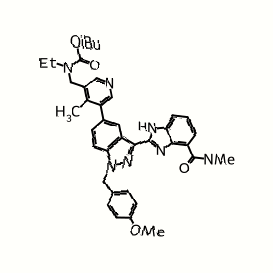 CCN(Cc1cncc(-c2ccc3c(c2)c(-c2nc4c(C(=O)NC)cccc4[nH]2)nn3Cc2ccc(OC)cc2)c1C)C(=O)OCC(C)C